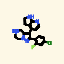 Fc1cc(Cl)ccc1-c1nn2c(c1-c1ccnc3[nH]ccc13)CNCC2